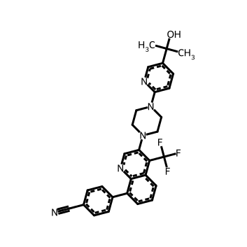 CC(C)(O)c1ccc(N2CCN(c3cnc4c(-c5ccc(C#N)cc5)cccc4c3C(F)(F)F)CC2)nc1